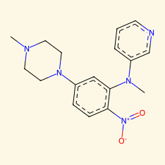 CN1CCN(c2ccc([N+](=O)[O-])c(N(C)c3cccnc3)c2)CC1